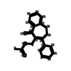 CC(=O)OCC1=C(c2ccccc2)CCc2ccccc2C1=O